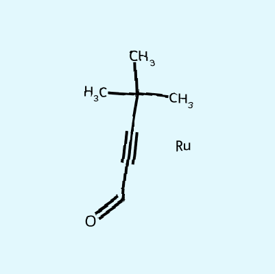 CC(C)(C)C#CC=O.[Ru]